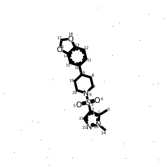 Cc1c(S(=O)(=O)N2CCC(c3ccc4c(c3)OCO4)CC2)cnn1C